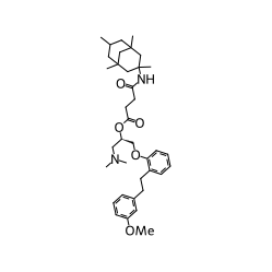 COc1cccc(CCc2ccccc2OC[C@@H](CN(C)C)OC(=O)CCC(=O)NC2(C)CC3(C)CC(C)CC(C)(C3)C2)c1